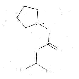 CCC(CC)OC(=O)ON1CCCC1